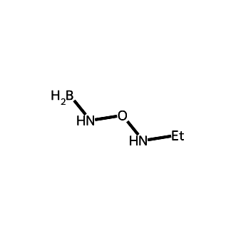 BNONCC